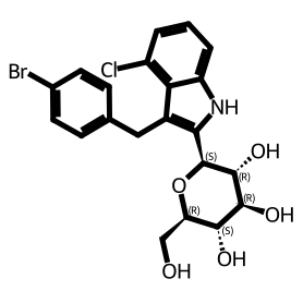 OC[C@H]1O[C@@H](c2[nH]c3cccc(Cl)c3c2Cc2ccc(Br)cc2)[C@H](O)[C@@H](O)[C@@H]1O